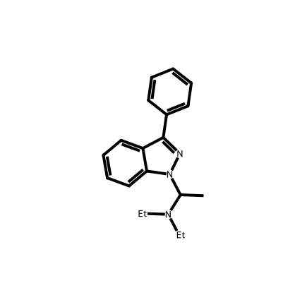 CCN(CC)C(C)n1nc(-c2ccccc2)c2ccccc21